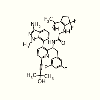 Cn1nc(N)c2cccc(-c3ccc(C#CC(C)(C)O)nc3C(Cc3cc(F)cc(F)c3)NC(=O)CNC3=C(C(=N)C(F)(F)F)CCC3(F)F)c21